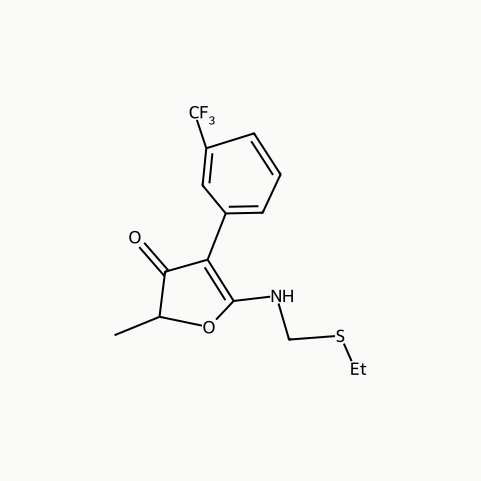 CCSCNC1=C(c2cccc(C(F)(F)F)c2)C(=O)C(C)O1